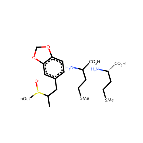 CCCCCCCC[S+]([O-])C(C)Cc1ccc2c(c1)OCO2.CSCCC(N)C(=O)O.CSCC[C@H](N)C(=O)O